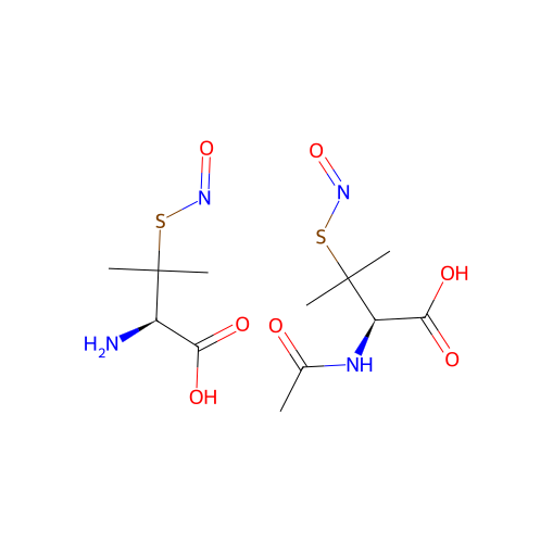 CC(=O)N[C@H](C(=O)O)C(C)(C)SN=O.CC(C)(SN=O)[C@H](N)C(=O)O